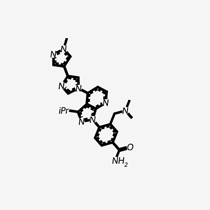 CC(C)c1nn(-c2ccc(C(N)=O)cc2CN(C)C)c2nccc(-n3cnc(-c4cnn(C)c4)c3)c12